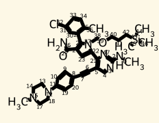 CNc1ncc(C#Cc2ccc(N3CCN(C)CC3)cc2)c(-c2cc(C(N)=O)c(-c3cc(Cl)ccc3C)n2COCCC[Si](C)(C)C)n1